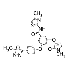 Cc1csc(NC(=O)c2cc(Oc3ccc(-c4nnc(C)o4)cc3)cc(O[C@H]3CCN(C)C3=O)c2)n1